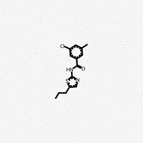 CCCc1cnc(NC(=O)c2cc(C)cc(Cl)c2)s1